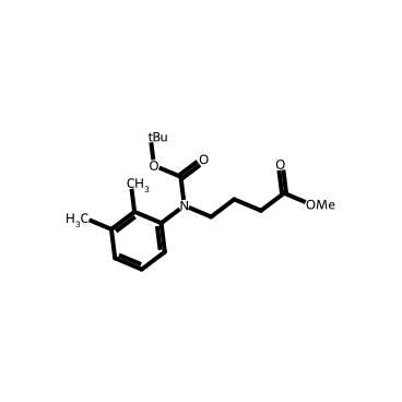 COC(=O)CCCN(C(=O)OC(C)(C)C)c1cccc(C)c1C